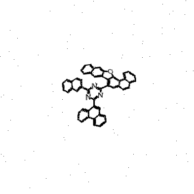 c1ccc2cc(-c3nc(-c4cc5ccccc5c5ccccc45)nc(-c4cc5ccc6ccccc6c5c5oc6cc7ccccc7cc6c45)n3)ccc2c1